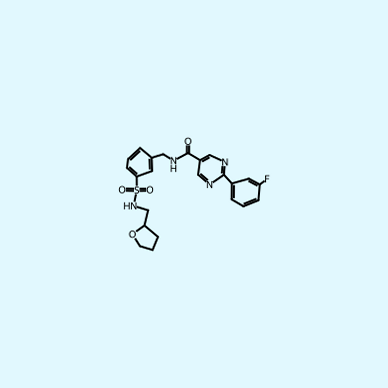 O=C(NCc1cccc(S(=O)(=O)NCC2CCCO2)c1)c1cnc(-c2cccc(F)c2)nc1